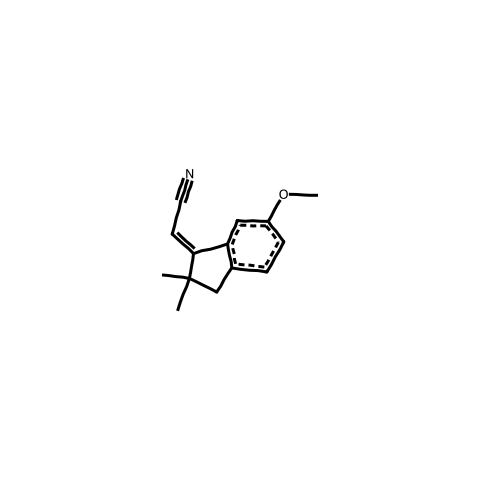 COc1ccc2c(c1)C(=CC#N)C(C)(C)C2